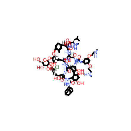 CNCCOc1cc(NC(=O)NC(=O)C[C@@H]2NC(=O)[C@H](NC(=O)[C@@H](CC(C)C)NC)[C@H](O)c3ccc(c(C)c3)Oc3cc4cc(c3O[C@@H]3O[C@H](CO)[C@@H](O)[C@H](O)[C@H]3O)Oc3ccc(cc3Cl)[C@@H](O)[C@@H]3NC(=O)[C@H](NC(=O)[C@@H]4NC2=O)c2ccc(O)c(c2)-c2c(O)cc(O)cc2[C@@H](C(=O)NC2C4CC5CC(C4)CC2C5)NC3=O)cc(OCCNC)c1